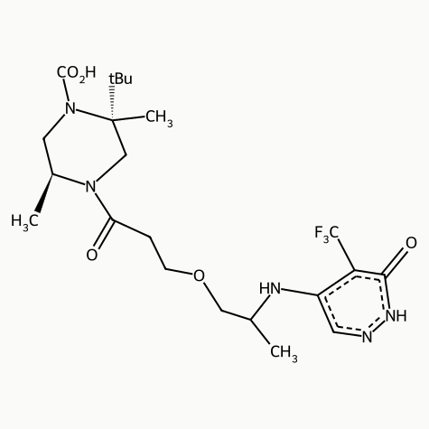 CC(COCCC(=O)N1C[C@@](C)(C(C)(C)C)N(C(=O)O)C[C@@H]1C)Nc1cn[nH]c(=O)c1C(F)(F)F